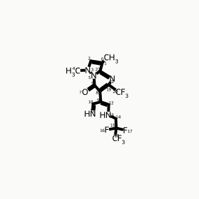 Cc1cn(C)n2c(=O)c(/C(C=N)=C/NCC(F)(F)C(F)(F)F)c(C(F)(F)F)nc12